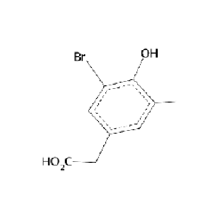 Cc1cc(CC(=O)O)cc(Br)c1O